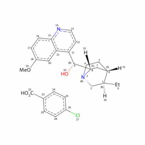 CC[C@H]1C[N@]2CC[C@H]1C[C@H]2[C@H](O)c1ccnc2ccc(OC)cc12.O=C(O)c1ccc(Cl)cc1